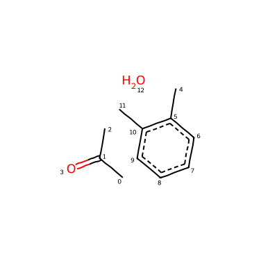 CC(C)=O.Cc1ccccc1C.O